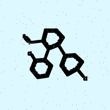 S=Pc1cccc(-c2ccc(Cl)cc2)c1-c1ccccc1Cl